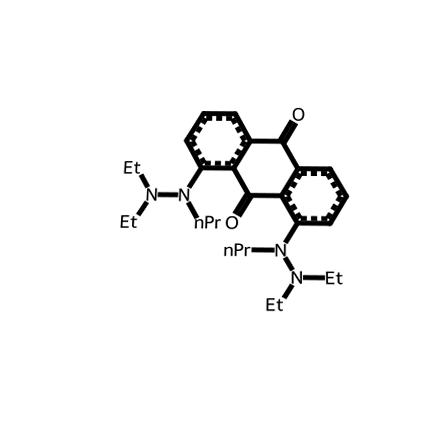 CCCN(c1cccc2c1C(=O)c1c(cccc1N(CCC)N(CC)CC)C2=O)N(CC)CC